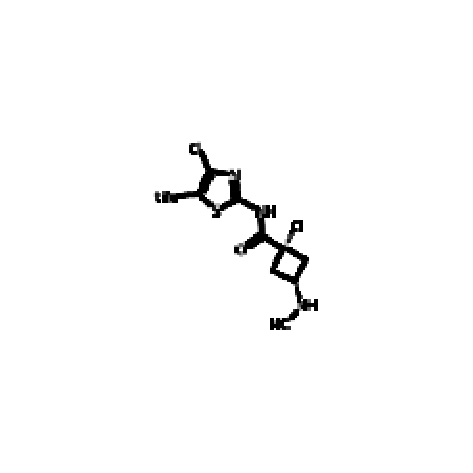 CC(C)(C)c1sc(NC(=O)[C@]2(Cl)C[C@H](NC#N)C2)nc1Cl